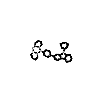 C1=CB2OB3C=CC=CN3B(c3ccc(-c4ccc5c6ccccc6n(-c6ccccc6)c5c4)cc3)N2C=C1